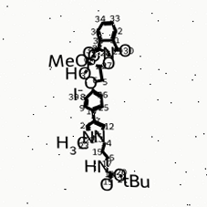 COP(=O)(O)C(COc1ccc(-c2cn(CCCNC(=O)OC(C)(C)C)[n+](C)c2)cc1)ON1C(=O)c2ccccc2C1=O.[I-]